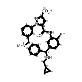 CNCc1cccc(-n2nc(C(=O)O)cc2C(=O)Nc2cc(C(NCC3CC3)c3ccccc3)ccc2F)c1